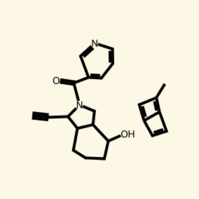 C#CC1C2CCCC(O)C2CN1C(=O)c1cccnc1.Cc1cc2ccc1-2